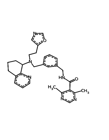 Cc1ncnc(C)c1C(=O)NCc1cccc(CN(CCc2cnco2)C2CCCc3cccnc32)c1